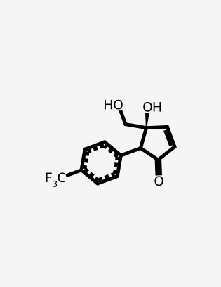 O=C1C=C[C@@](O)(CO)C1c1ccc(C(F)(F)F)cc1